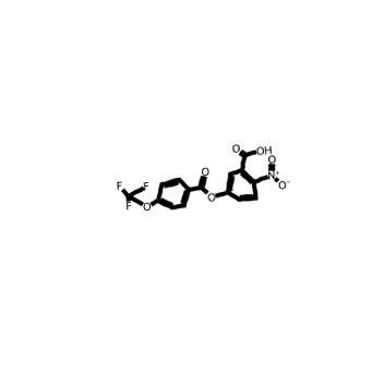 O=C(Oc1ccc([N+](=O)[O-])c(C(=O)O)c1)c1ccc(OC(F)(F)F)cc1